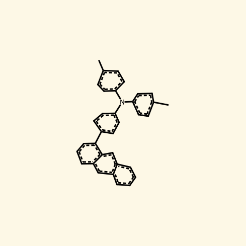 Cc1ccc(N(c2ccc(C)cc2)c2ccc(-c3cccc4cc5ccccc5cc34)cc2)cc1